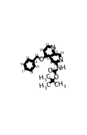 CC(C)(C)OC(=O)Nc1cc2c(OCc3ccccc3)ccnc2cn1